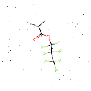 CC(C)C(=O)OC(F)(F)C(F)(F)C(F)(F)F